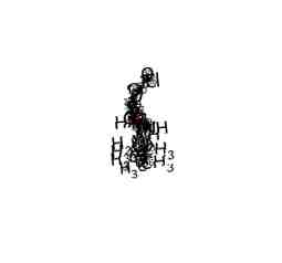 Cc1c(C)c(S(=O)(=O)/N=C(\N)NCCC[C@H](NS(=O)(=O)c2ccc3cc(COC(=O)CCCCC(=O)Cl)ccc3c2)C(=O)N2CCNCC2)c(C)c2c1OC(C)(C)C2